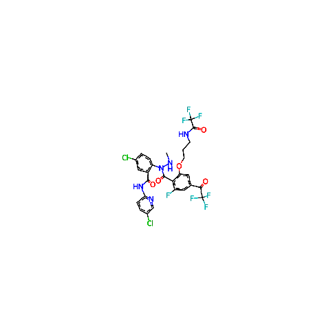 CNN(C(=O)c1c(F)cc(C(=O)C(F)(F)F)cc1OCCCNC(=O)C(F)(F)F)c1ccc(Cl)cc1C(=O)Nc1ccc(Cl)cn1